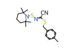 Cc1ccc(CSC(C#N)=NSN2C(C)(C)CCCC2(C)C)cc1